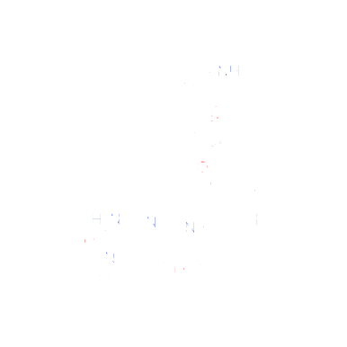 C[C@@H]1COc2cc([N+](=O)[O-])c(N)nc2N1Cc1cc(F)cc2c1OC(COC(N)=O)C2